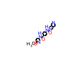 COc1ccc(NC(=O)c2ccc(NC(=O)N3Cc4ccncc4C3)cc2)cn1